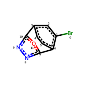 Brc1cc2ccc1-c1nnc-2o1